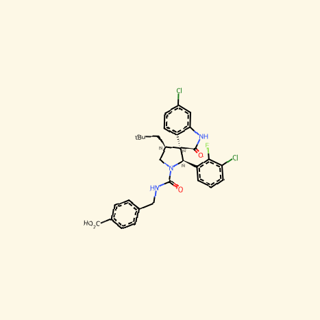 CC(C)(C)C[C@@H]1CN(C(=O)NCc2ccc(C(=O)O)cc2)[C@H](c2cccc(Cl)c2F)[C@]12C(=O)Nc1cc(Cl)ccc12